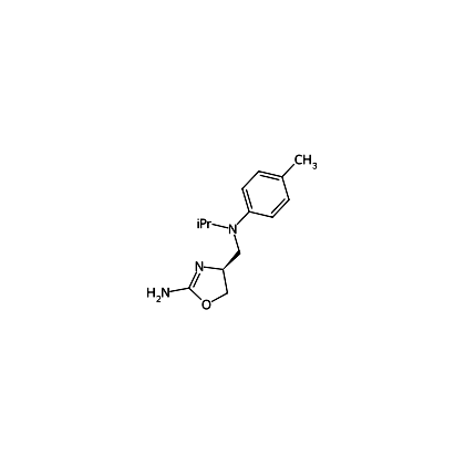 Cc1ccc(N(C[C@H]2COC(N)=N2)C(C)C)cc1